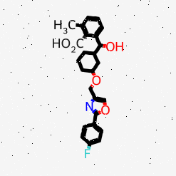 Cc1cccc(C(O)C2CCCC(OCc3coc(-c4ccc(F)cc4)n3)C2)c1C(=O)O